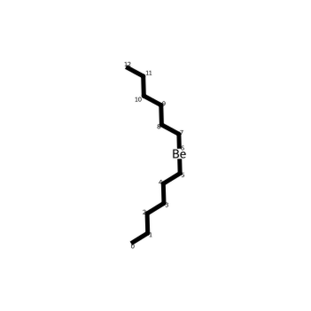 CCCCC[CH2][Be][CH2]CCCCC